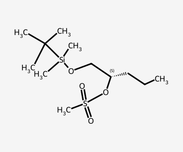 CCC[C@@H](CO[Si](C)(C)C(C)(C)C)OS(C)(=O)=O